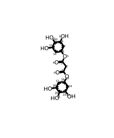 O=C(CC(=O)Oc1cc(O)c(O)c(O)c1)Oc1cc(O)c(O)c(O)c1